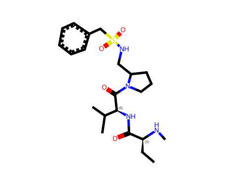 CC[C@H](NC)C(=O)N[C@H](C(=O)N1CCCC1CNS(=O)(=O)Cc1ccccc1)C(C)C